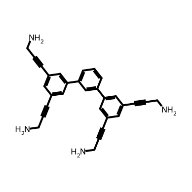 NCC#Cc1cc(C#CCN)cc(-c2cccc(-c3cc(C#CCN)cc(C#CCN)c3)c2)c1